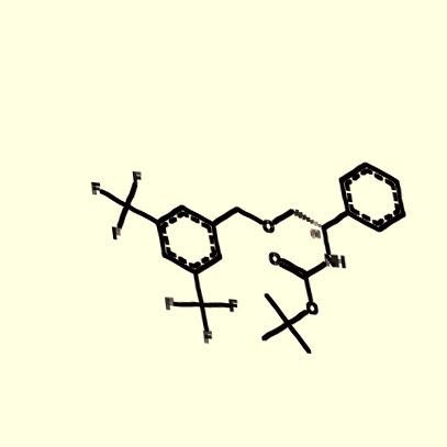 CC(C)(C)OC(=O)N[C@H](COCc1cc(C(F)(F)F)cc(C(F)(F)F)c1)c1ccccc1